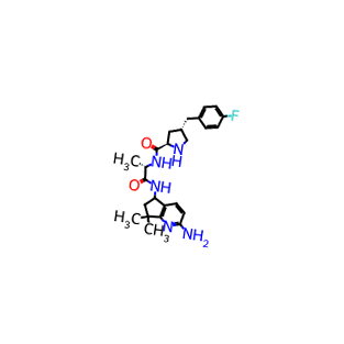 C[C@H](NC(=O)[C@H]1C[C@H](Cc2ccc(F)cc2)CN1)C(=O)NC1CC(C)(C)c2nc(N)ccc21